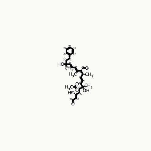 CC(=O)O[C@H](/C=C/[C@H](C)[C@H](C=O)/C(C)=C/C=C/C(C)(O)CCc1ccccc1)[C@](C)(O)CC[C@@H](O)CC=O